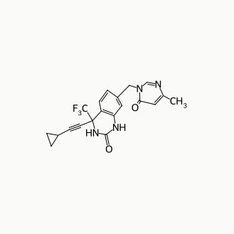 Cc1cc(=O)n(Cc2ccc3c(c2)NC(=O)NC3(C#CC2CC2)C(F)(F)F)cn1